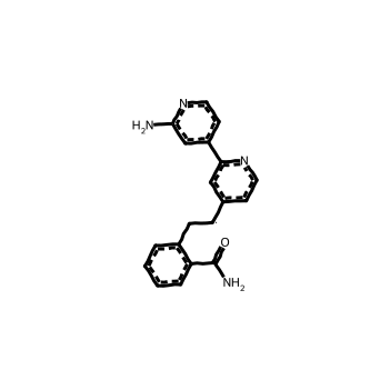 NC(=O)c1ccccc1C[CH]c1ccnc(-c2ccnc(N)c2)c1